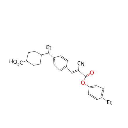 CCc1ccc(OC(=O)C(C#N)=Cc2ccc(C(CC)C3CCC(C(=O)O)CC3)cc2)cc1